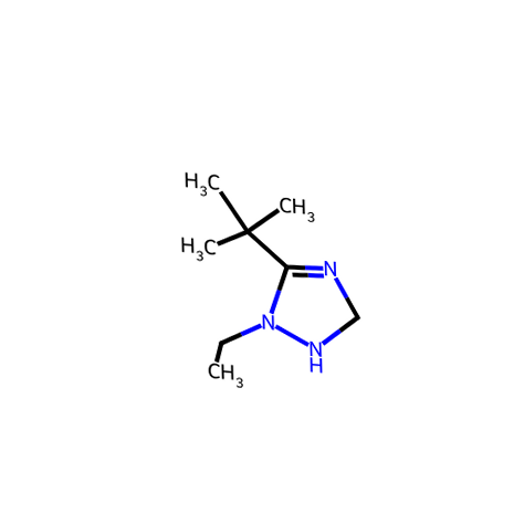 CCN1NCN=C1C(C)(C)C